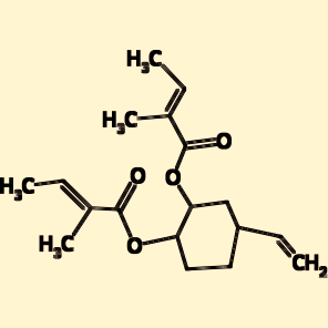 C=CC1CCC(OC(=O)/C(C)=C/C)C(OC(=O)/C(C)=C/C)C1